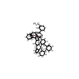 Cc1cccc(-c2nc(-c3ccccc3)nc(-c3ccc4c(c3)C3(c5ccccc5-c5ccccc5-4)c4ccccc4-c4cc5c(cc43)sc3ccccc35)n2)c1